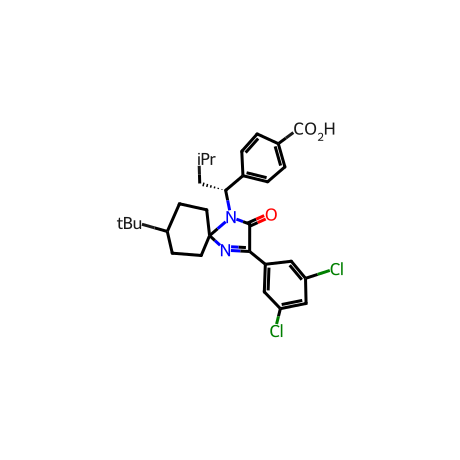 CC(C)C[C@H](c1ccc(C(=O)O)cc1)N1C(=O)C(c2cc(Cl)cc(Cl)c2)=NC12CCC(C(C)(C)C)CC2